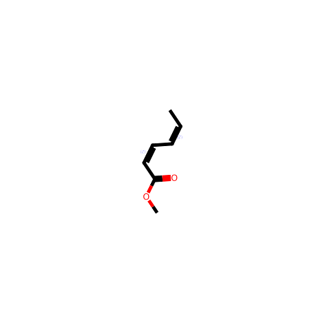 C/C=C\C=C/C(=O)OC